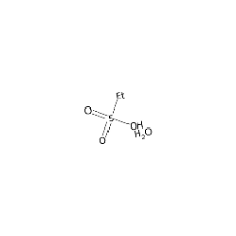 CCS(=O)(=O)O.O